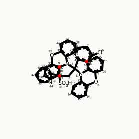 CCC(CC(c1nccc(Cl)n1)(N1c2ccccc2Oc2ccccc21)N1c2ccccc2Oc2ccccc21)(c1ncccn1)S(=O)(=O)O